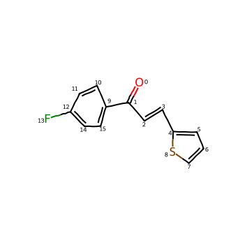 O=C(/C=C/c1cccs1)c1ccc(F)cc1